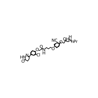 CCCNC[C@@H](O)COc1ccc(OCCCNC(=O)COc2ccc(C3=NNC(=O)CC3)cc2Cl)cc1C#N